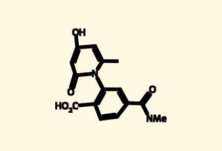 CNC(=O)c1ccc(C(=O)O)c(-n2c(C)cc(O)cc2=O)c1